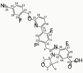 CC1(C)COCC1n1c(Cc2cc(F)c(-c3cccc(OCc4ccc(C#N)cc4F)n3)cc2F)nc2c(F)cc(C(=O)O)cc21